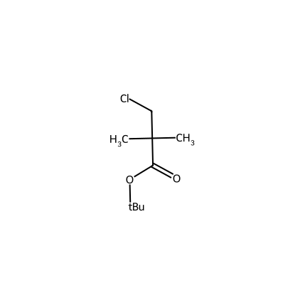 CC(C)(C)OC(=O)C(C)(C)CCl